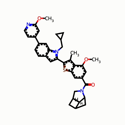 COc1cc(-c2ccc3cc(-c4sc5cc(C(=O)N6CC7CC8CC6[C@H]87)cc(OC)c5c4C)n(CC4CC4)c3c2)ccn1